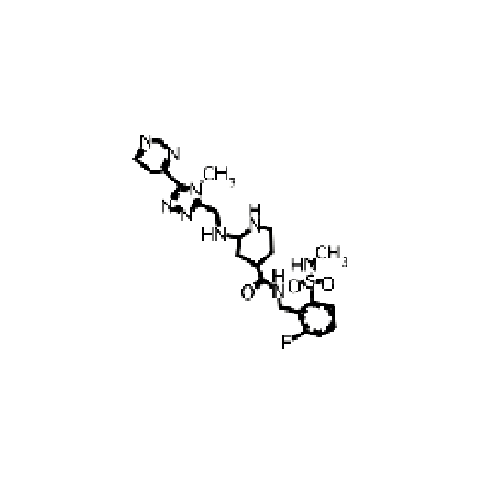 CNS(=O)(=O)c1cccc(F)c1CNC(=O)C1CCNC(NCc2nnc(C3=NCN=CC3)n2C)C1